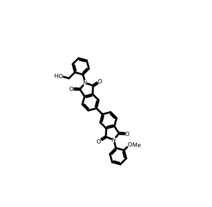 COc1ccccc1N1C(=O)c2ccc(-c3ccc4c(c3)C(=O)N(c3ccccc3CO)C4=O)cc2C1=O